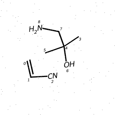 C=CC#N.CC(C)(O)CN